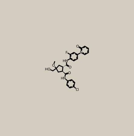 COC1(CO)C[C@H](C(=O)Nc2ccc(Cl)cc2)[C@@H](C(=O)Nc2ccc(-n3ccccc3=O)cc2F)C1